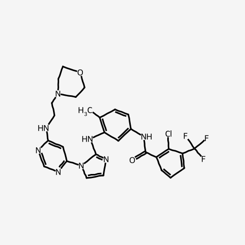 Cc1ccc(NC(=O)c2cccc(C(F)(F)F)c2Cl)cc1Nc1nccn1-c1cc(NCCN2CCOCC2)ncn1